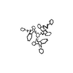 c1ccc(-n2c3ccccc3c3c2c2ccccc2n3-c2cc(-n3c4ccccc4c4c3c3ccccc3n4-c3ccccc3)cc(-n3c4ccccc4c4c3c3ccccc3n4-c3ccccc3)c2)cc1